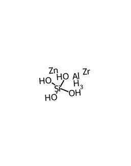 O[Si](O)(O)O.[AlH3].[Zn].[Zr]